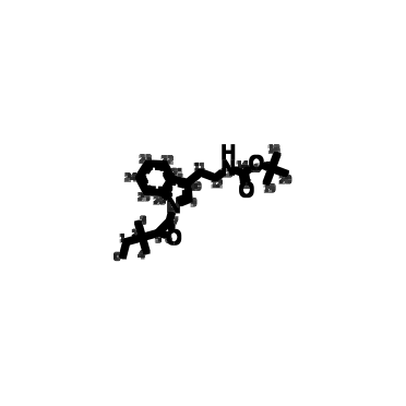 CCC(C)(C)C1OC1n1cc(CCNC(=O)OC(C)(C)C)c2ccccc21